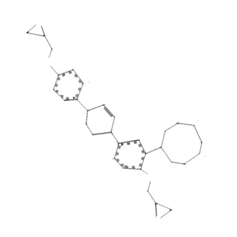 C1=CC(c2ccc(OCC3CO3)c(C3CCCCCCC3)c2)CCC1c1ccc(OCC2CO2)cc1